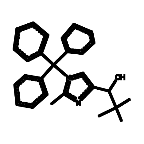 Cc1nc(C(O)C(C)(C)C)cn1C(c1ccccc1)(c1ccccc1)c1ccccc1